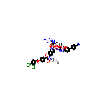 Cc1nc(N)sc1S(=O)(=O)N1Cc2cc3c(cc2C[C@H]1C(=O)N[C@@H](Cc1ccc(-c2ccc(C#N)cc2)cc1)C(=O)O)N(C)C(=O)C(c1ccc(OCc2ccc(Cl)c(Cl)c2)cc1)O3